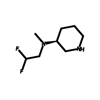 CN(CC(F)F)[C@H]1CCCNC1